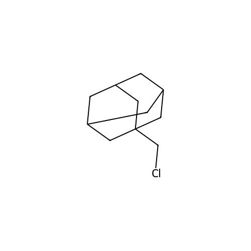 ClCC12CC3CC(CC(C3)C1)C2